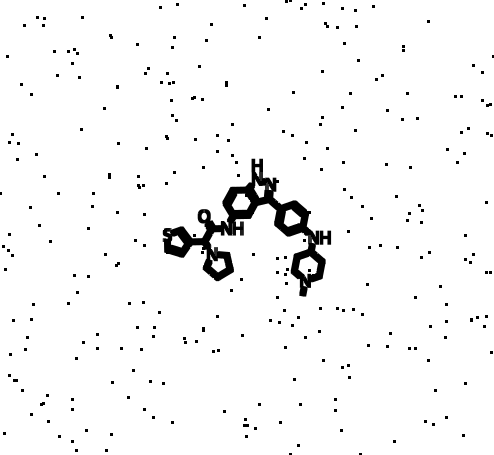 CN1CCC(Nc2ccc(-c3n[nH]c4ccc(NC(=O)C(c5ccsc5)N5CCCC5)cc34)cc2)CC1